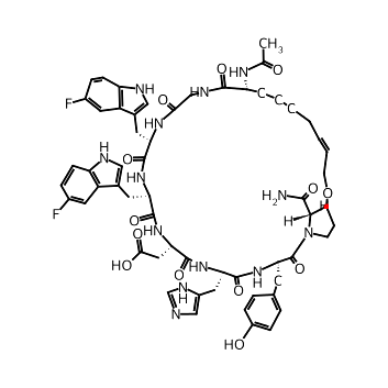 CC(=O)N[C@@H]1CCCC/C=C\CO[C@@H]2CCN(C(=O)[C@H](Cc3ccc(O)cc3)NC(=O)[C@H](Cc3cnc[nH]3)NC(=O)[C@H](CC(=O)O)NC(=O)[C@H](Cc3c[nH]c4ccc(F)cc34)NC(=O)[C@H](Cc3c[nH]c4ccc(F)cc34)NC(=O)CNC1=O)[C@@H]2C(N)=O